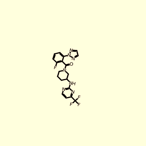 O=C(c1c(F)cccc1-n1nccn1)N1CCCC(Nc2nccc(C(F)(F)F)n2)C1